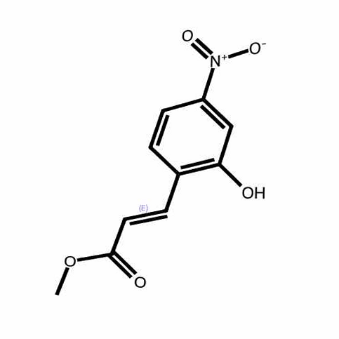 COC(=O)/C=C/c1ccc([N+](=O)[O-])cc1O